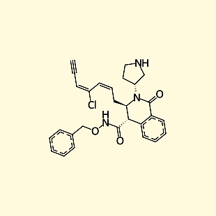 C#C/C=C(Cl)\C=C/C[C@@H]1[C@@H](C(=O)NOCc2ccccc2)c2ccccc2C(=O)N1[C@@H]1CCNC1